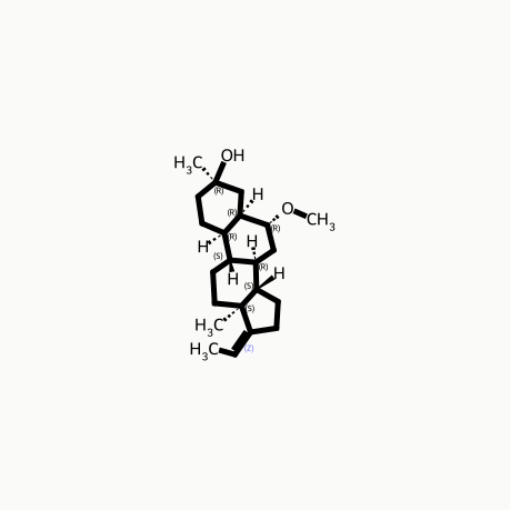 C/C=C1/CC[C@H]2[C@@H]3C[C@@H](OC)[C@@H]4C[C@](C)(O)CC[C@@H]4[C@H]3CC[C@]12C